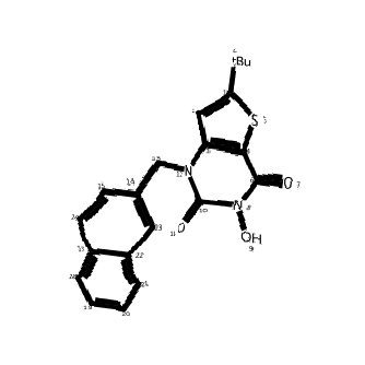 CC(C)(C)c1cc2c(s1)c(=O)n(O)c(=O)n2Cc1ccc2ccccc2c1